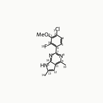 COc1c(Cl)ccc(-c2nc(C)c3cc(C)[nH]c3n2)c1F